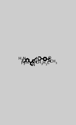 CN(C)C(=O)c1ccc(C2CCN(Cc3cc4c(-c5ccc(N)c(C(F)(F)F)n5)ccnc4n3C)CC2)cc1